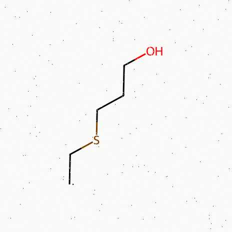 [CH2]CSCCCO